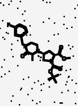 COC(=O)[C@@H]1C[C@H](N2CCN(Cc3cccc(F)c3)C(=O)C2C)CN1C(=O)OC(C)(C)C